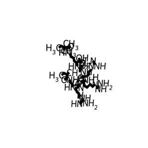 CCC(C)C(=O)NCC(=O)NC(CCCNC(=N)N)C(=O)NC(CCCNC(=N)N)C(=O)NC(CCCNC(=N)N)C(=O)NCC(=O)NC(CCCCNC(=O)C(C)(C)CC)C(=O)O